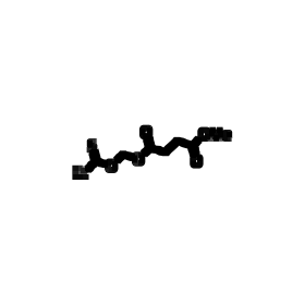 CCC(=S)OCOC(=O)CCC(=O)OC